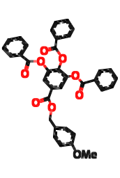 COc1ccc(COC(=O)c2cc(OC(=O)c3ccccc3)c(OC(=O)c3ccccc3)c(OC(=O)c3ccccc3)c2)cc1